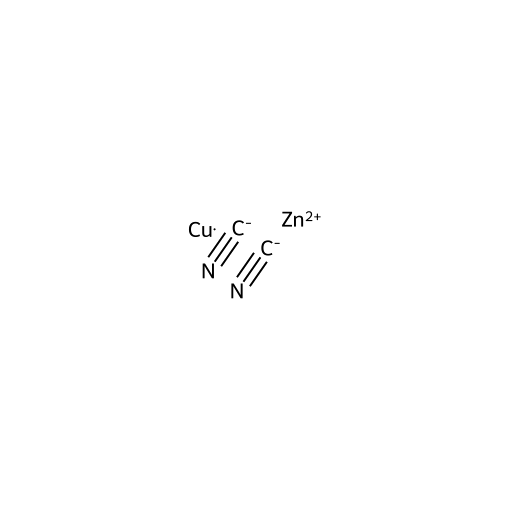 [C-]#N.[C-]#N.[Cu].[Zn+2]